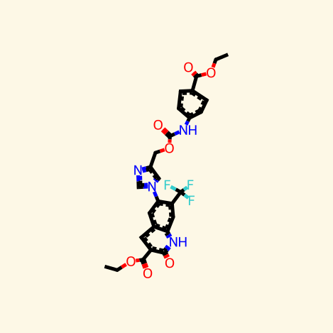 CCOC(=O)c1ccc(NC(=O)OCc2cn(-c3cc4cc(C(=O)OCC)c(=O)[nH]c4cc3C(F)(F)F)cn2)cc1